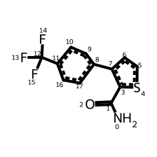 NC(=O)c1sccc1-c1ccc(C(F)(F)F)cc1